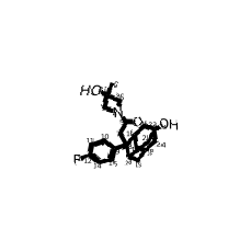 CC1(O)CN(C(=O)CC2(c3ccc(F)cc3)C3CC4CC2CC(O)(C4)C3)C1